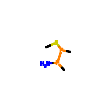 CSP(C)P(C)N